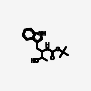 CC(O)C(Cc1c[nH]c2ccccc12)NC(=O)OC(C)(C)C